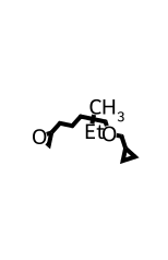 CCC(C)(CCCC1CO1)COCC1CC1